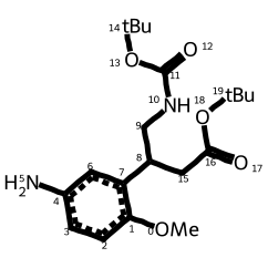 COc1ccc(N)cc1C(CNC(=O)OC(C)(C)C)CC(=O)OC(C)(C)C